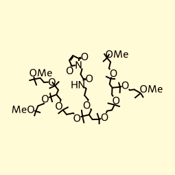 COC(C)(C)CCOC(C)(C)CC(COC(C)(C)CCOC(C)(C)CC(COCCCNC(=O)CCN1C(=O)C=CC1=O)C(C)(C)OCCC(C)(C)OCC(CC(C)(C)OCCC(C)(C)OC)C(C)(C)OCCC(C)(C)OC)C(C)(C)OCCC(C)(C)OC